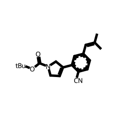 CC(C)=Cc1ccc(C#N)c(C2=CCN(C(=O)OC(C)(C)C)C2)c1